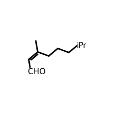 CC(=CC=O)CCCC(C)C